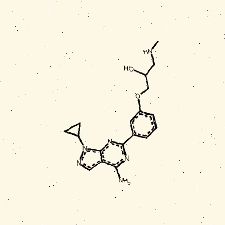 CNCC(O)COc1cccc(-c2nc(N)c3cnn(C4CC4)c3n2)c1